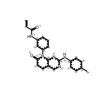 C=CC(=O)Nc1cccc(-n2c(=O)ccc3cnc(Nc4ccc(C)cc4)nc32)c1